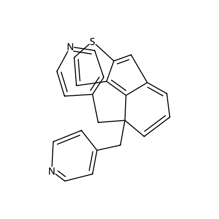 C1=CC(Cc2ccncc2)(Cc2ccncc2)C2=c3ccsc3=CC2=C1